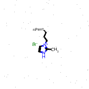 CCCCCCCC[n+]1cc[nH]c1C.[Br-]